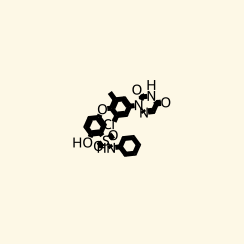 Cc1cc(-n2ncc(=O)[nH]c2=O)cc(Cl)c1Oc1ccc(O)c(S(=O)(=O)NC2CCCCC2)c1